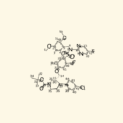 COc1ccc(CN(c2ncc(F)cn2)S(=O)(=O)c2cc(F)c(OC[C@H]3CN(C(=O)OC(C)(C)C)CC[C@@H]3c3ccc(Cl)cc3)cc2F)c(OC)c1